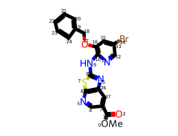 COC(=O)c1cnc2sc(Nc3ncc(Br)cc3OCc3ccccc3)nc2c1